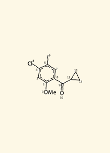 COc1cc(Cl)c(C)cc1C(=O)C1CC1